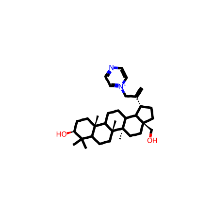 C=C(C[n+]1ccncc1)[C@@H]1CC[C@]2(CO)CC[C@]3(C)C(CCC4[C@@]5(C)CC[C@H](O)C(C)(C)C5CC[C@]43C)C12